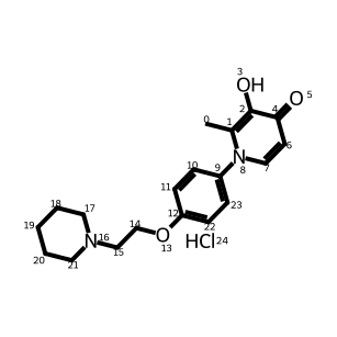 Cc1c(O)c(=O)ccn1-c1ccc(OCCN2CCCCC2)cc1.Cl